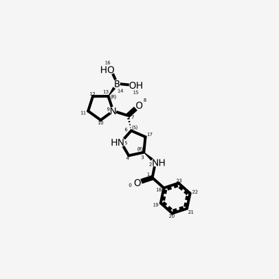 O=C(N[C@H]1CN[C@H](C(=O)N2CCC[C@H]2B(O)O)C1)c1ccccc1